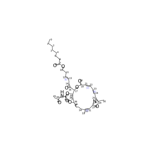 CCCCCCCC(=O)OCC/C=C/C1OC1C1OC(=O)/C=C\C=C\c2nc(oc2C)/C=C(/C)CCC2OC2C1OC(=O)NC(C)=O